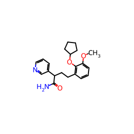 COc1cccc(CCC(C(N)=O)c2cccnc2)c1OC1CCCC1